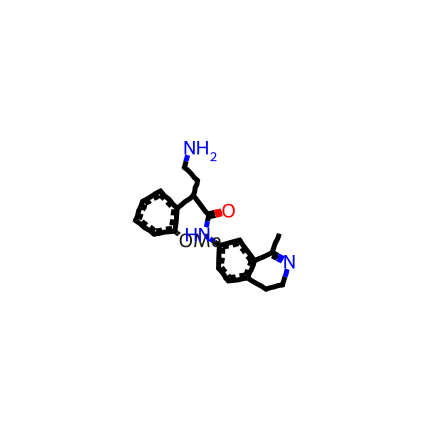 COc1ccccc1C(CCN)C(=O)Nc1ccc2c(c1)C(C)=NCC2